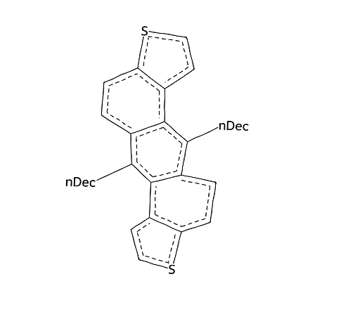 CCCCCCCCCCc1c2ccc3sccc3c2c(CCCCCCCCCC)c2ccc3sccc3c12